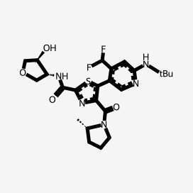 C[C@H]1CCCN1C(=O)c1nc(C(=O)N[C@@H]2COC[C@H]2O)sc1-c1cnc(NC(C)(C)C)cc1C(F)F